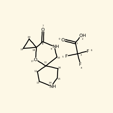 O=C(O)C(F)(F)F.O=C1NCC2(CCNCC2)OC12CC2